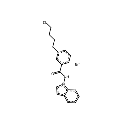 O=C(Nn1ccc2ccccc21)c1ccc[n+](CCCCCl)c1.[Br-]